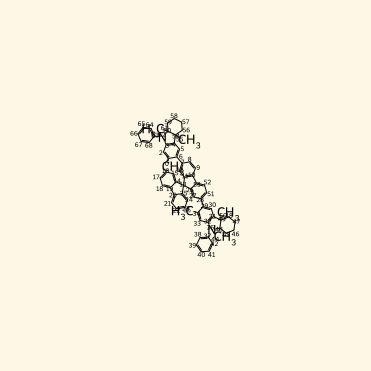 Cc1cc2c(cc1-c1ccc3c(c1)C1(c4ccccc4-c4ccccc41)c1cc(-c4cc5c(cc4C)N(c4ccccc4)C4(C)CCCCC54C)ccc1-3)C1(C)CCCCC1(C)N2c1ccccc1